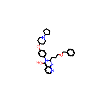 OC1=c2cccnc2=NC(CCCOCc2ccccc2)N1c1ccc(OC2CCN(C3CCCC3)CC2)cc1